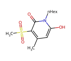 CCCCCCn1c(O)cc(C)c(S(C)(=O)=O)c1=O